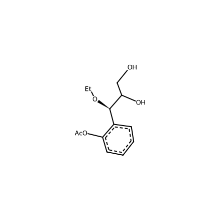 CCO[C@H](c1ccccc1OC(C)=O)C(O)CO